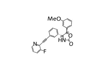 COc1cccc([C@H]2OC(=O)N[C@@H]2c2cccc(C#Cc3ncccc3F)c2)c1